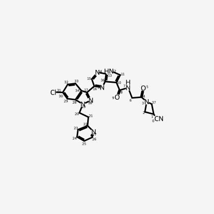 N#CC1CN(C(=O)CNC(=O)c2c[nH]c3ncc(-c4nn(CCc5ccccn5)c5cc(Cl)ccc45)nc23)C1